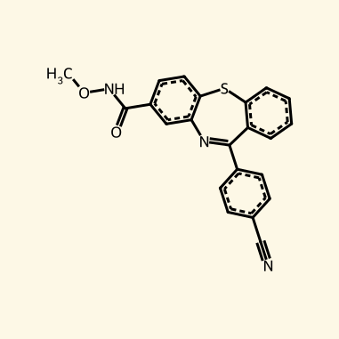 CONC(=O)c1ccc2c(c1)N=C(c1ccc(C#N)cc1)c1ccccc1S2